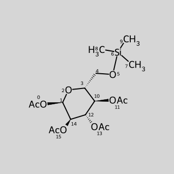 CC(=O)O[C@H]1O[C@H](CO[Si](C)(C)C)[C@@H](OC(C)=O)[C@H](OC(C)=O)[C@H]1OC(C)=O